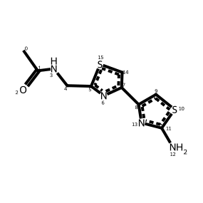 CC(=O)NCc1nc(-c2csc(N)n2)cs1